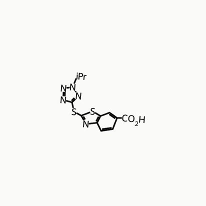 CC(C)n1nnc(Sc2nc3ccc(C(=O)O)cc3s2)n1